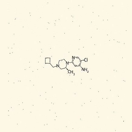 C[C@H]1CN(CC2CCC2)CCN1c1cc(N)c(Cl)cn1